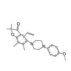 C=Cc1c2c(c(C)c(C)c1N1CCN(c3ccc(OC)cc3)CC1)OC(C)(C)C2=O